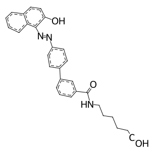 O=C(NCCCCCCO)c1cccc(-c2ccc(N=Nc3c(O)ccc4ccccc34)cc2)c1